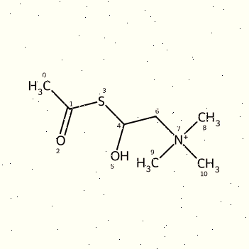 CC(=O)SC(O)C[N+](C)(C)C